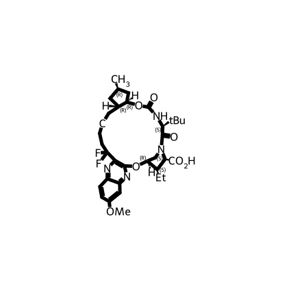 CC[C@@H]1[C@@H]2CN(C(=O)[C@H](C(C)(C)C)NC(=O)O[C@@H]3C[C@H](C)C[C@H]3CCCCC(F)(F)c3nc4ccc(OC)cc4nc3O2)[C@@H]1C(=O)O